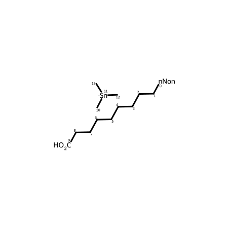 CCCCCCCCCCCCCCCCCC(=O)O.[CH3][Sn]([CH3])[CH3]